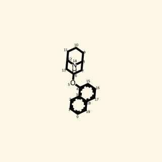 c1ccc2c(OC3CC4CCCC(C3)N4)cccc2c1